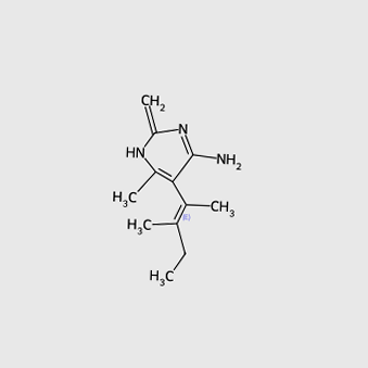 C=C1N=C(N)C(/C(C)=C(\C)CC)=C(C)N1